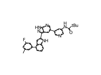 Cc1cc(F)cc(-c2cccc3[nH]c(-c4n[nH]c5ncc(-c6cncc(NC(=O)C(C)(C)C)c6)cc45)cc23)c1